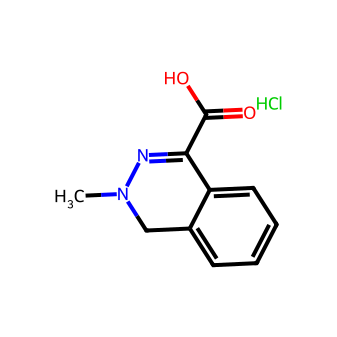 CN1Cc2ccccc2C(C(=O)O)=N1.Cl